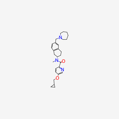 CN(C(=O)c1ccc(OCC2CC2)cn1)[C@H]1CCc2cc(CN3CCCCCC3)ccc2C1